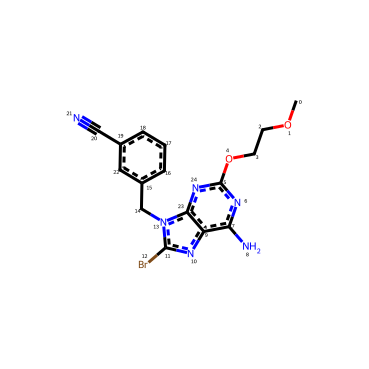 COCCOc1nc(N)c2nc(Br)n(Cc3cccc(C#N)c3)c2n1